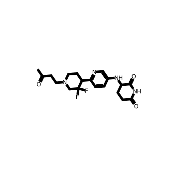 CC(=O)CCN1CCC(c2ccc(NC3CCC(=O)NC3=O)cn2)C(F)(F)C1